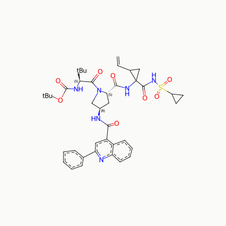 C=CC1CC1(NC(=O)[C@@H]1C[C@@H](NC(=O)c2cc(-c3ccccc3)nc3ccccc23)CN1C(=O)[C@@H](NC(=O)OC(C)(C)C)C(C)(C)C)C(=O)NS(=O)(=O)C1CC1